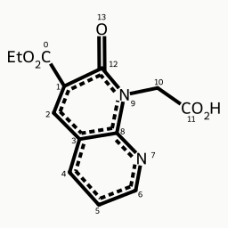 CCOC(=O)c1cc2cccnc2n(CC(=O)O)c1=O